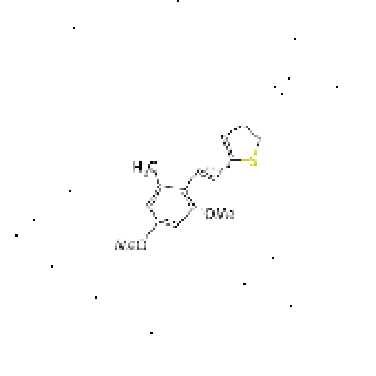 COc1cc(C)c(/C=C/C2=CCCS2)c(OC)c1